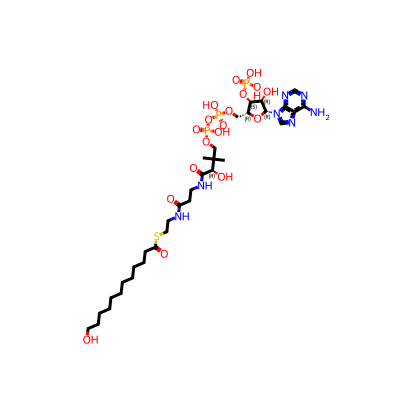 CC(C)(COP(=O)(O)OP(=O)(O)OC[C@H]1O[C@@H](n2cnc3c(N)ncnc32)[C@H](O)[C@@H]1OP(=O)(O)O)[C@@H](O)C(=O)NCCC(=O)NCCSC(=O)CCCCCCCCCCCO